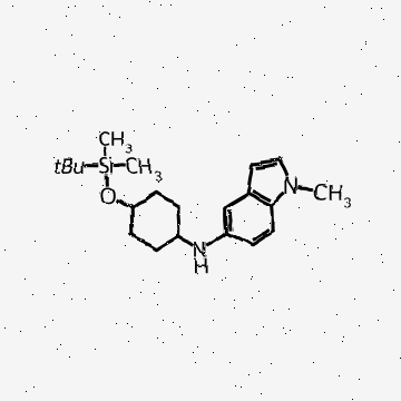 Cn1ccc2cc(NC3CCC(O[Si](C)(C)C(C)(C)C)CC3)ccc21